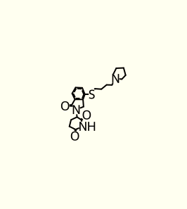 O=C1CCC(N2Cc3c(SCCCCN4CCCCC4)cccc3C2=O)C(=O)N1